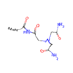 CNC(=O)NC(=O)CN(CC(N)=O)CC(N)=O